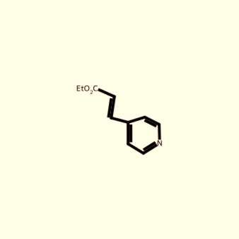 CCOC(=O)C=Cc1ccncc1